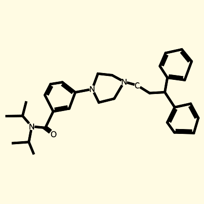 CC(C)N(C(=O)c1cccc(N2CCN(CCC(c3ccccc3)c3ccccc3)CC2)c1)C(C)C